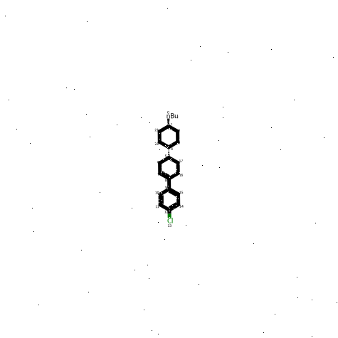 CCCC[C@H]1CC[C@H](C2CC=C(c3ccc(Cl)cc3)CC2)CC1